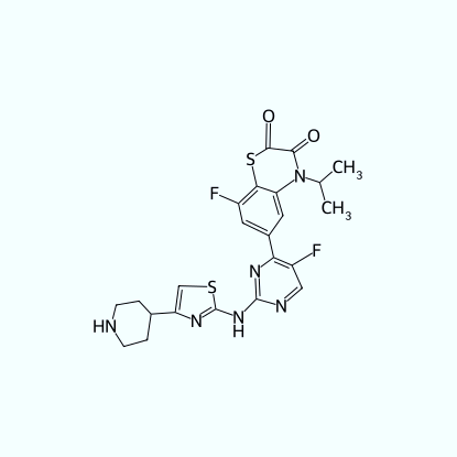 CC(C)n1c(=O)c(=O)sc2c(F)cc(-c3nc(Nc4nc(C5CCNCC5)cs4)ncc3F)cc21